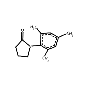 Cc1cc(C)c(N2CCCC2=O)c(C)c1